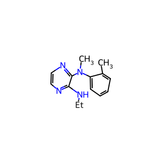 CCNc1nccnc1N(C)c1ccccc1C